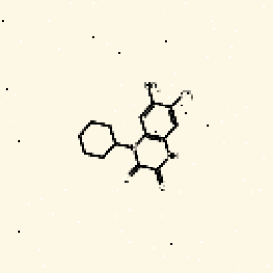 O=c1[nH]c2cc(C(F)(F)F)c([N+](=O)[O-])cc2n(C2CCCCC2)c1=O